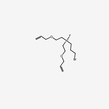 C=CCOCC[N+](F)(CCCBr)CCOCC=C